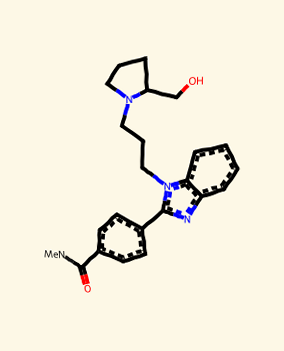 CNC(=O)c1ccc(-c2nc3ccccc3n2CCCN2CCCC2CO)cc1